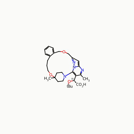 Cc1nc2cc3nn2c(c1[C@H](OC(C)(C)C)C(=O)O)N1CCC(C)(CC1)OCCCc1ccccc1COC3